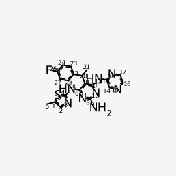 Cc1cnc(Nc2nc(N)nc(Nc3cnccn3)c2C(C)c2ccc(F)cc2)s1